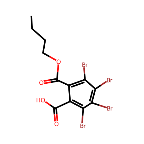 CCCCOC(=O)c1c(Br)c(Br)c(Br)c(Br)c1C(=O)O